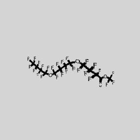 O=C(OC(F)(F)F)C(F)(F)C(F)(F)C(F)(F)OC(F)(F)C(F)(F)C(F)(F)C(F)(F)OC(F)(F)C(F)(F)C(F)(F)C(F)(F)F